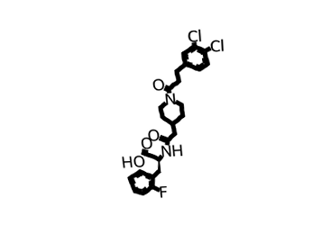 O=C(CC1CCN(C(=O)CCc2ccc(Cl)c(Cl)c2)CC1)N[C@@H](Cc1ccccc1F)C(=O)O